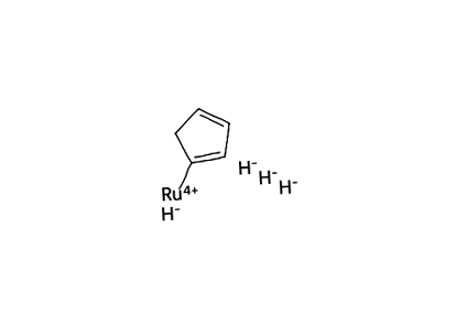 [H-].[H-].[H-].[H-].[Ru+4][C]1=CC=CC1